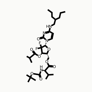 CCCC(CCC)CNc1ccn([C@@H]2O[C@H](COC(=O)[C@H](NC(=O)OC(C)(C)C)C(C)C)[C@@H](OC(=O)C(C)C)C2(F)F)c(=O)n1